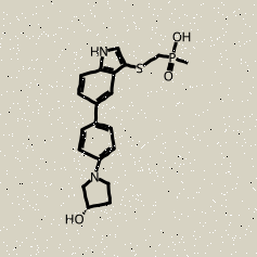 CP(=O)(O)CSc1c[nH]c2ccc(-c3ccc(N4CC[C@H](O)C4)cc3)cc12